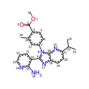 COC(=O)c1ccc(-n2c(-c3cccnc3N)nc3ccc(C(C)C)nc32)cc1C